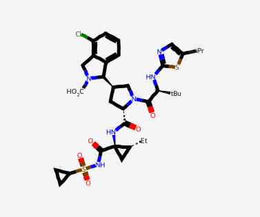 CC[C@@H]1C[C@]1(NC(=O)[C@@H]1C[C@@H](C2c3cccc(Cl)c3CN2C(=O)O)CN1C(=O)[C@@H](Nc1ncc(C(C)C)s1)C(C)(C)C)C(=O)NS(=O)(=O)C1CC1